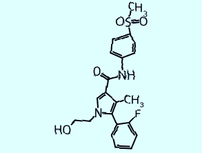 Cc1c(C(=O)Nc2ccc(S(C)(=O)=O)cc2)cn(CCO)c1-c1ccccc1F